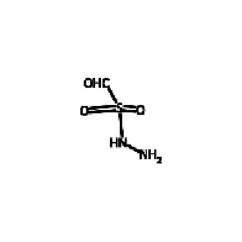 NNS(=O)(=O)C=O